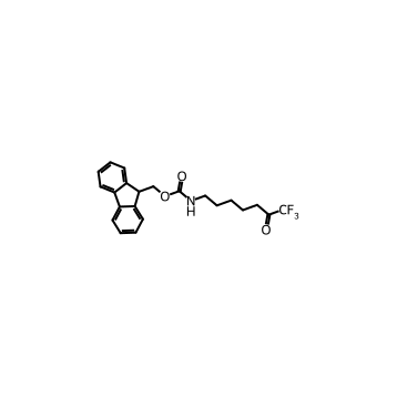 O=C(NCCCCCC(=O)C(F)(F)F)OCC1c2ccccc2-c2ccccc21